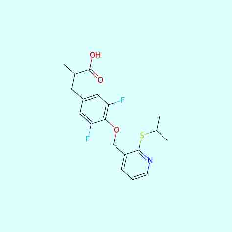 CC(C)Sc1ncccc1COc1c(F)cc(CC(C)C(=O)O)cc1F